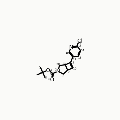 CC(C)(C)OC(=O)N1CC2C=C(c3ccc(Cl)nc3)C2C1